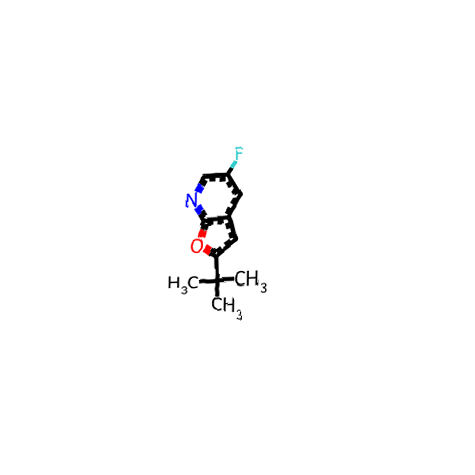 CC(C)(C)c1cc2cc(F)cnc2o1